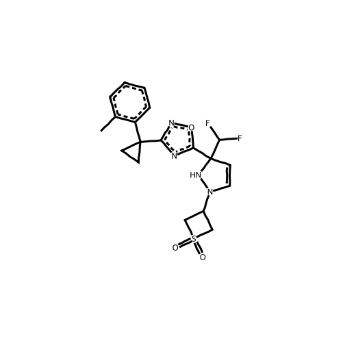 Cc1ccccc1C1(c2noc(C3(C(F)F)C=CN(C4CS(=O)(=O)C4)N3)n2)CC1